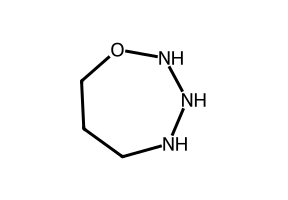 C1CNNNOC1